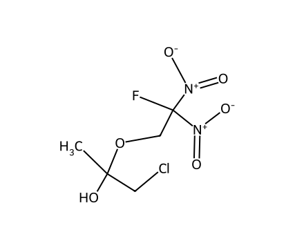 CC(O)(CCl)OCC(F)([N+](=O)[O-])[N+](=O)[O-]